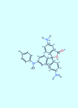 CCN(c1ccc(C)cc1)c1ccc(C2(c3ccc(N(C)C)cc3)OC(=O)c3cc(N(C)C)ccc32)c(C)c1